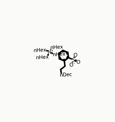 CCCCCCCCCCCCc1ccccc1S(=O)(=O)[O-].CCCCCC[N+](CCCCCC)(CCCCCC)CCCCCC